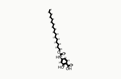 CCCCCCCCCCCCCCCCCOC(=O)Nc1ccc(C(=O)O)c(O)c1